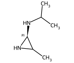 CC(C)N[C@@H]1NC1C